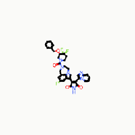 O=C1NC(=O)C(c2cnc3ccccn23)=C1c1cn2c3c(cc(F)cc13)CN(C(=O)N1CCC(F)(F)C(OCc3ccccc3)C1)CC2